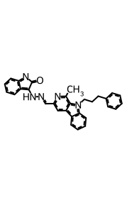 Cc1nc(C=NNC2=c3ccccc3=NC2=O)cc2c3ccccc3n(CCCc3ccccc3)c12